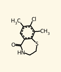 Cc1cc2c(c(C)c1Cl)SCCNC2=O